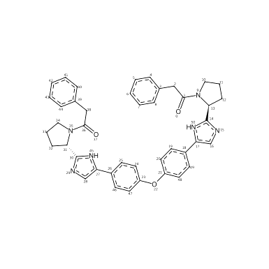 O=C(Cc1ccccc1)N1CCC[C@H]1c1ncc(-c2ccc(Oc3ccc(-c4cnc([C@@H]5CCCN5C(=O)Cc5ccccc5)[nH]4)cc3)cc2)[nH]1